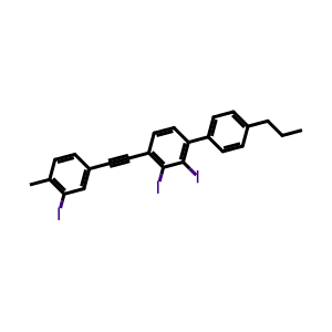 CCCc1ccc(-c2ccc(C#Cc3ccc(C)c(I)c3)c(I)c2I)cc1